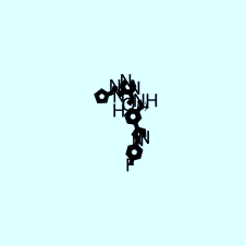 C[C@H](NC(=O)c1ncnc2nc(C3CCCC3)[nH]c12)c1cccc(-c2cnn(-c3ccc(F)cc3)c2)c1